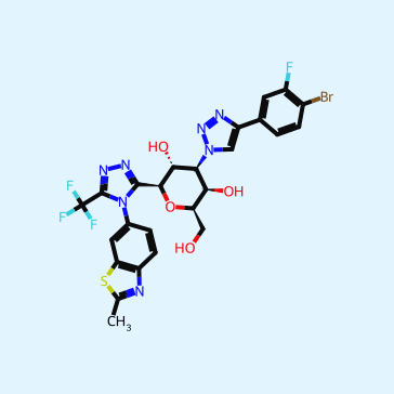 Cc1nc2ccc(-n3c([C@@H]4O[C@H](CO)[C@H](O)[C@H](n5cc(-c6ccc(Br)c(F)c6)nn5)[C@H]4O)nnc3C(F)(F)F)cc2s1